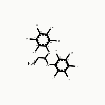 [AlH2][CH2]C(Oc1c(I)c(I)c(I)c(I)c1I)Oc1c(I)c(I)c(I)c(I)c1I